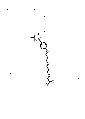 CC(S)N[C@H](C)c1ccc(OCCCOCCCOCC(=O)C(C)C)cc1